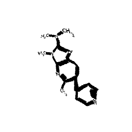 Cc1nc2c(cc1-c1ccncc1)nc(N(C)C)n2C